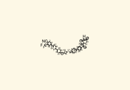 N#Cc1ccc(N2CCC(C3=CC=C(O[C@H]4C[C@@H](CCN5CCN(c6ccc7c(c6)CN(C6CCC(=O)NC6=O)C7=O)CC5)C4)CC3)CC2)cc1C(F)(F)F